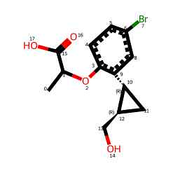 CC(Oc1ccc(Br)cc1[C@@H]1C[C@H]1CO)C(=O)O